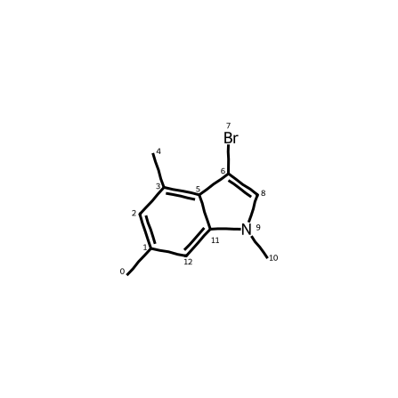 Cc1cc(C)c2c(Br)cn(C)c2c1